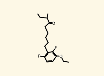 CCOc1ccc(F)c(CCCCCC(=O)C(C)CC)c1F